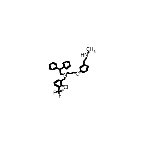 CCNCCc1cccc(OCCCN(Cc2cccc(C(F)(F)F)c2Cl)CC(c2ccccc2)c2ccccc2)c1